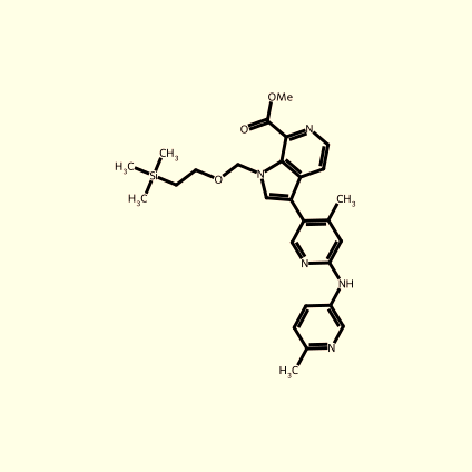 COC(=O)c1nccc2c(-c3cnc(Nc4ccc(C)nc4)cc3C)cn(COCC[Si](C)(C)C)c12